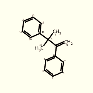 C=C(c1ccccc1)C(C)(C)c1ccccc1